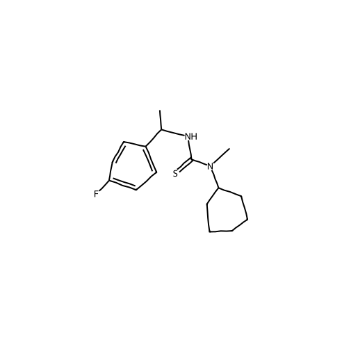 CC(NC(=S)N(C)C1CCCCC1)c1ccc(F)cc1